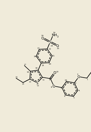 CCOc1cccc(OC(=O)c2sc(CC)c(C)c2-c2ccc(S(N)(=O)=O)cc2)c1